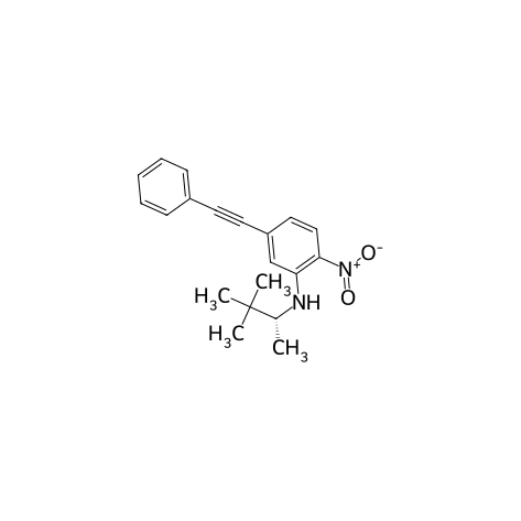 C[C@@H](Nc1cc(C#Cc2ccccc2)ccc1[N+](=O)[O-])C(C)(C)C